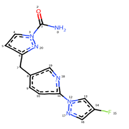 NC(=O)n1ccc(Cc2ccc(-n3cc(F)cn3)nc2)n1